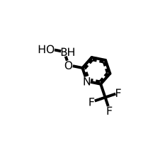 OBOc1cccc(C(F)(F)F)n1